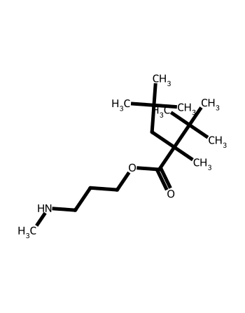 CNCCCOC(=O)C(C)(CC(C)(C)C)C(C)(C)C